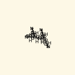 C#CCN(CCC(=O)NCCN(CCC(=O)NCCNC(=O)CCSSc1ccccn1)CCC(=O)NCCNC(=O)CCSSc1ccccn1)CCC(=O)NCCN(CCC(=O)NCCNC(=O)CCSSc1ccccn1)CCC(=O)NCCNC(=O)CCSSc1ccccn1